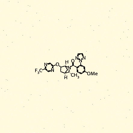 COc1ccc(C(=O)N2[C@H](C)[C@H]3C[C@@H](Oc4cnc(C(F)(F)F)cn4)[C@@H]2C3)c(-n2nccn2)c1